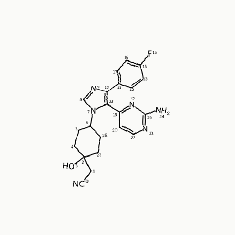 N#CCC1(O)CCC(n2cnc(-c3ccc(F)cc3)c2-c2ccnc(N)n2)CC1